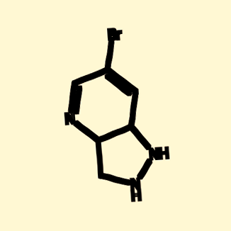 BrC1=CC2NNCC2N=C1